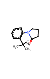 CC(C)(C)c1ccccc1N1CCCC1=O